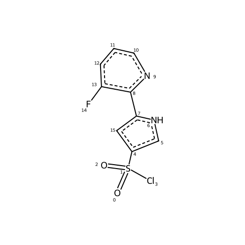 O=S(=O)(Cl)c1c[nH]c(-c2ncccc2F)c1